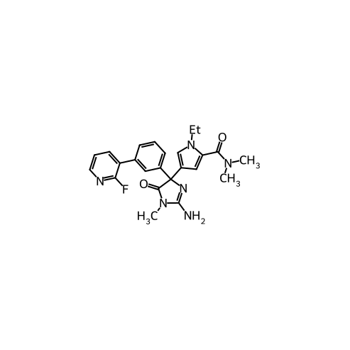 CCn1cc(C2(c3cccc(-c4cccnc4F)c3)N=C(N)N(C)C2=O)cc1C(=O)N(C)C